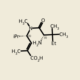 CCC(C)(C)[C@H](N)C(=O)N(C)[C@H](C=C(C)C(=O)O)C(C)C